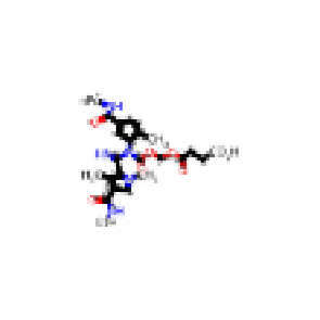 CCCNC(=O)c1ccc(C)c(N(C(=N)c2c(C)c(C(=O)NCC)cn2C)C(=O)OCOC(=O)CCC(=O)O)c1